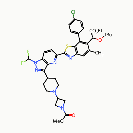 CCOC(=O)[C@@H](OC(C)(C)C)c1c(C)cc2nc(-c3ccc4c(n3)c(C3CCN(C5CN(C(=O)OC)C5)CC3)nn4C(F)F)sc2c1-c1ccc(Cl)cc1